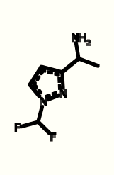 CC(N)c1ccn(C(F)F)n1